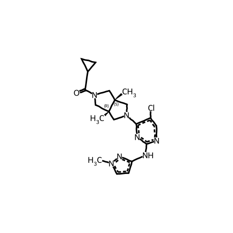 Cn1ccc(Nc2ncc(Cl)c(N3C[C@]4(C)CN(C(=O)C5CC5)C[C@]4(C)C3)n2)n1